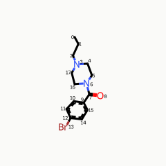 CCCN1CCN(C(=O)c2ccc(Br)cc2)CC1